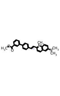 COC(=O)c1cccc(-c2ccc(/C=C/c3ccc4cc(N(C)C)ccc4[n+]3C)cc2)c1